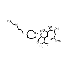 CSC1C[C@H](O)C(O)C(O)[C@@H]([C@H](NC(=O)[C@@H]2CC[C@H](CCCNCC(F)(F)F)CCN2)[C@H](C)Cl)O1